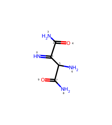 N=C(C(N)=O)C(N)C(N)=O